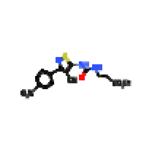 CCOC(=O)CCNC(=O)Nc1snc(-c2ccc([N+](=O)[O-])cc2)c1C#N